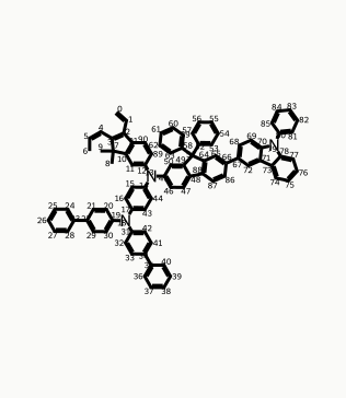 C=CC1=C(/C=C\C)C(C)(C)c2cc(N(c3ccc(N(c4ccc(-c5ccccc5)cc4)c4ccc(-c5ccccc5)cc4)cc3)c3ccc4c(c3)C(c3ccccc3)(c3ccccc3)c3cc(-c5ccc6c(c5)c5ccccc5n6-c5ccccc5)ccc3-4)ccc21